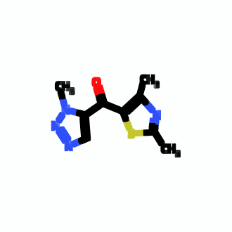 Cc1nc(C)c(C(=O)c2cnnn2C)s1